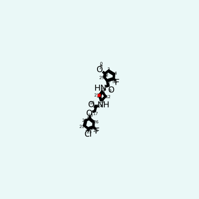 COc1ccc(F)c(C(=O)NC23CC(NC(=O)COc4ccc(Cl)c(F)c4)(C2)C3)c1